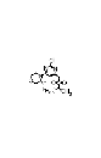 C=C(C)S(=O)(=O)Cc1cc(N2CCOC[C@@H]2C)nc(Cl)n1